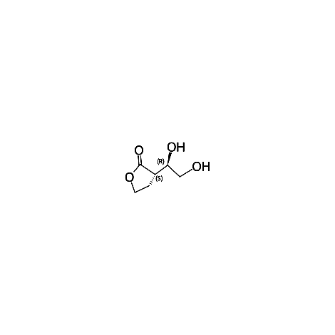 O=C1OCC[C@H]1[C@@H](O)CO